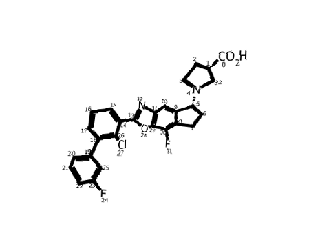 O=C(O)[C@@H]1CCN([C@@H]2CCc3c2cc2nc(-c4cccc(-c5cccc(F)c5)c4Cl)oc2c3F)C1